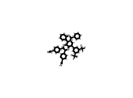 N#Cc1ccc(-c2nc3c(-c4cc(C(F)(F)F)cc(C(F)(F)F)c4)cc4c(-c5ccccc5)nc5ccccc5c4c3nc2-c2ccc(C#N)cc2)cc1